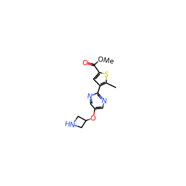 COC(=O)c1cc(-c2ncc(OC3CNC3)cn2)c(C)s1